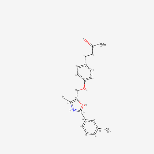 COC(=O)CCc1ccc(OCc2oc(-c3cccc(C(F)(F)F)c3)nc2C)cc1